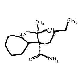 CCCCC(C(N)=O)(C1CCCCC1)C(C)(C)C